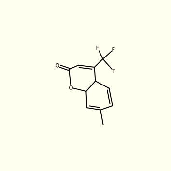 CC1=CC2OC(=O)C=C(C(F)(F)F)C2C=C1